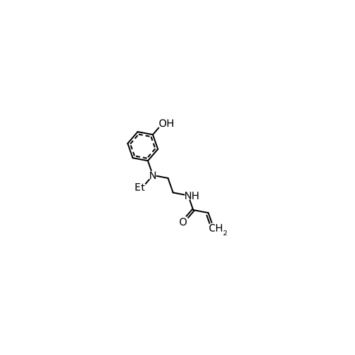 C=CC(=O)NCCN(CC)c1cccc(O)c1